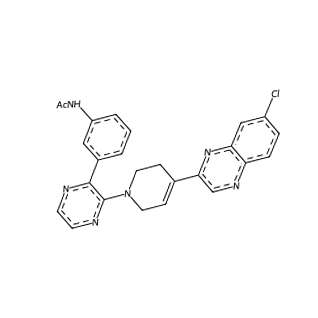 CC(=O)Nc1cccc(-c2nccnc2N2CC=C(c3cnc4ccc(Cl)cc4n3)CC2)c1